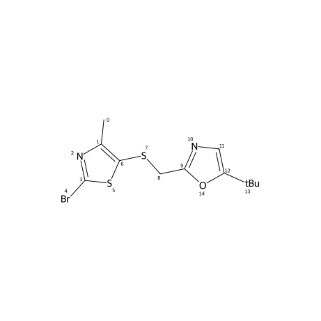 Cc1nc(Br)sc1SCc1ncc(C(C)(C)C)o1